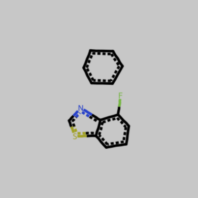 Fc1cccc2scnc12.c1ccccc1